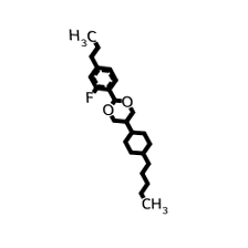 CCCCCC1CCC(C2COC(c3ccc(CCC)cc3F)OC2)CC1